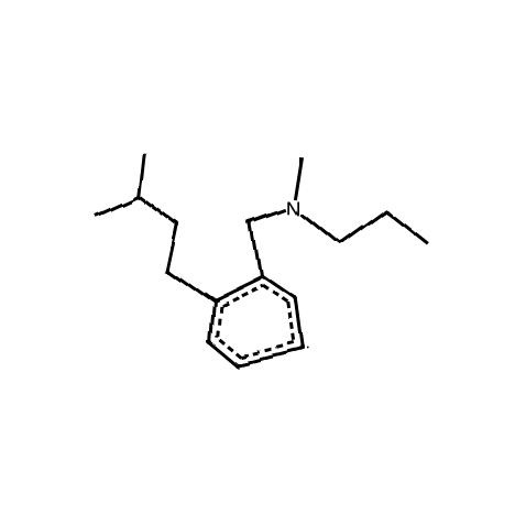 CCCN(C)Cc1c[c]ccc1CCC(C)C